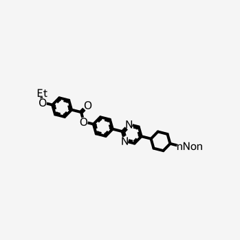 CCCCCCCCCC1CCC(c2cnc(-c3ccc(OC(=O)c4ccc(OCC)cc4)cc3)nc2)CC1